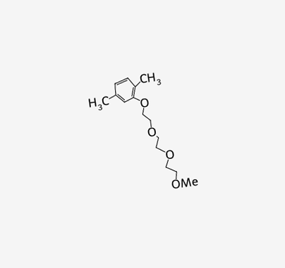 COCCOCCOCCOc1cc(C)ccc1C